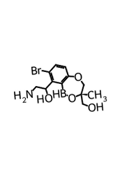 C[C@]1(CO)COc2ccc(Br)c(C(O)CN)c2BO1